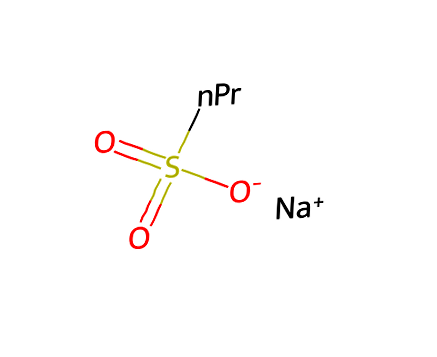 [CH2]CCS(=O)(=O)[O-].[Na+]